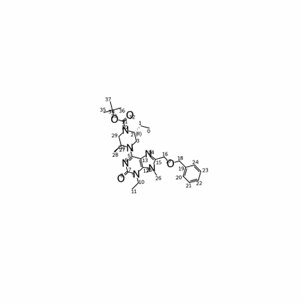 CC[C@@H]1CN(c2nc(=O)n(CC)c3c2nc(COCc2ccccc2)n3C)[C@@H](C)CN1C(=O)OC(C)(C)C